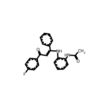 CC(=O)Nc1ccccc1NC(=CC(=O)c1ccc(F)cc1)c1ccccc1